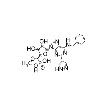 COC([C@@H]1O[C@@H](n2cnc3c(NCc4ccccc4)nc(-c4cn[nH]c4)nc32)[C@H](O)[C@@H]1O)P(=O)(O)O